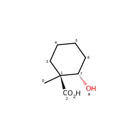 C[C@]1(C(=O)O)CCCC[C@@H]1O